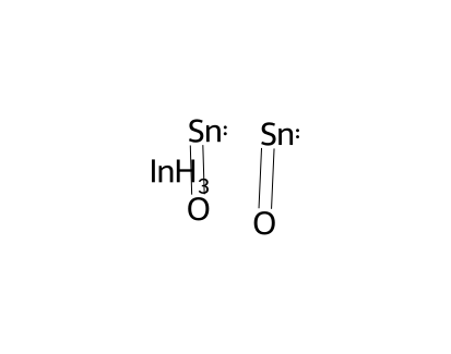 [InH3].[O]=[Sn].[O]=[Sn]